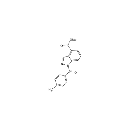 COC(=O)c1cccc2c1cnn2[S+]([O-])c1ccc(C)cc1